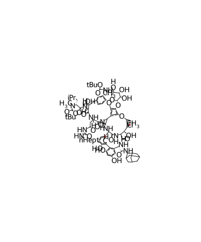 CCCCCCCNC(=O)NC(=O)C[C@@H]1NC(=O)[C@H](NC(=O)[C@@H](CC(C)C)N(C)C(=O)OC(C)(C)C)[C@H](O)c2ccc(c(C)c2)Oc2cc3cc(c2O[C@@H]2O[C@H](CNC(=O)OC(C)(C)C)[C@@H](O)[C@H](O)[C@H]2O)OC2=CC=C([C@@H](O)[C@@H]4NC(=O)[C@H](NC(=O)C3NC1=O)c1ccc(O)c(c1)-c1c(O)cc(O)cc1[C@@H](C(=O)NC1C3CC5CC(C3)CC1C5)NC4=O)[C@]2(C)Cl